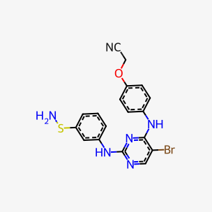 N#CCOc1ccc(Nc2nc(Nc3cccc(SN)c3)ncc2Br)cc1